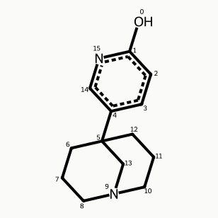 Oc1ccc(C23CCCN(CCC2)C3)cn1